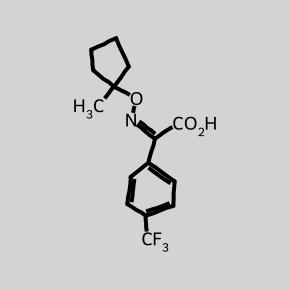 CC1(ON=C(C(=O)O)c2ccc(C(F)(F)F)cc2)CCCC1